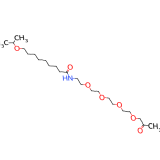 CC(=O)COCCOCCOCCOCCNC(=O)CCCCCCCCOC(C)C